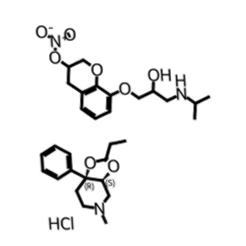 CC(C)NCC(O)COc1cccc2c1OCC(O[N+](=O)[O-])C2.CCC(=O)O[C@]1(c2ccccc2)CCN(C)C[C@@H]1C.Cl